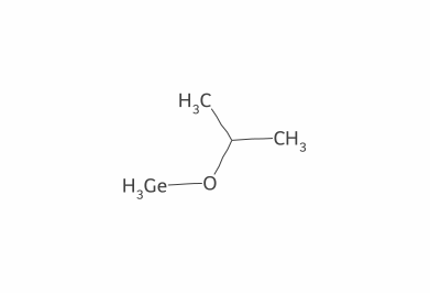 CC(C)[O][GeH3]